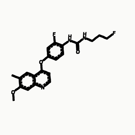 COc1cc2nccc(Oc3ccc(NC(=O)NCCCF)c(F)c3)c2cc1C